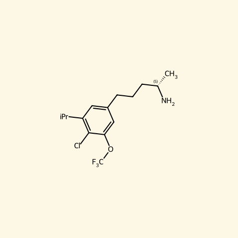 CC(C)c1cc(CCC[C@H](C)N)cc(OC(F)(F)F)c1Cl